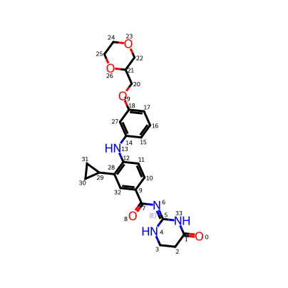 O=C1CCN/C(=N\C(=O)c2ccc(Nc3cccc(OCC4COCCO4)c3)c(C3CC3)c2)N1